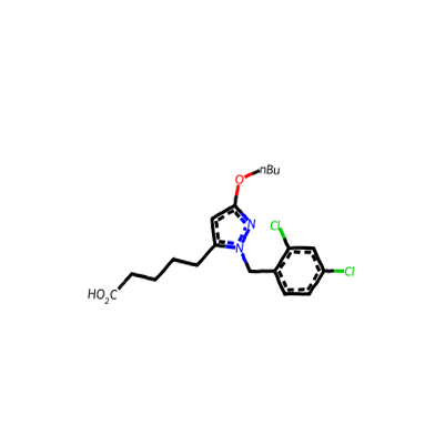 CCCCOc1cc(CCCCC(=O)O)n(Cc2ccc(Cl)cc2Cl)n1